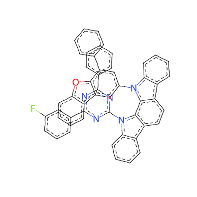 Fc1cccc(-c2nc(-c3ccccc3)nc(-n3c4ccccc4c4ccc5c6ccccc6n(-c6cc(-c7ccccc7)c7oc8ccccc8c7c6)c5c43)n2)c1